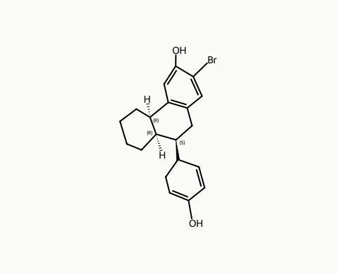 OC1=CCC([C@@H]2Cc3cc(Br)c(O)cc3[C@@H]3CCCC[C@@H]32)C=C1